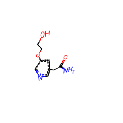 NC(=O)c1cncc(OCCO)c1